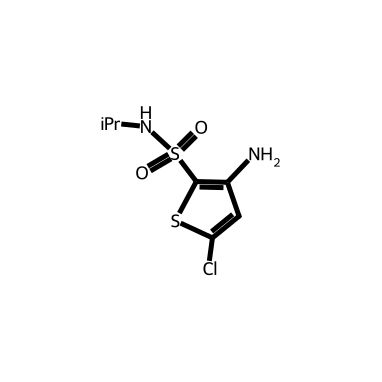 CC(C)NS(=O)(=O)c1sc(Cl)cc1N